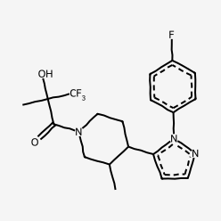 CC1CN(C(=O)C(C)(O)C(F)(F)F)CCC1c1ccnn1-c1ccc(F)cc1